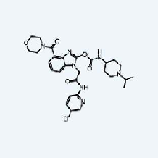 CC(C)N1CCC(NC(=O)Oc2nc3c(C(=O)N4CCOCC4)cccc3n2CC(=O)Nc2ccc(Cl)cn2)CC1